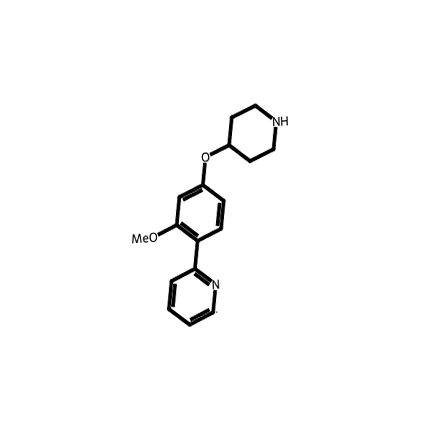 COc1cc(OC2CCNCC2)ccc1-c1ccc[c]n1